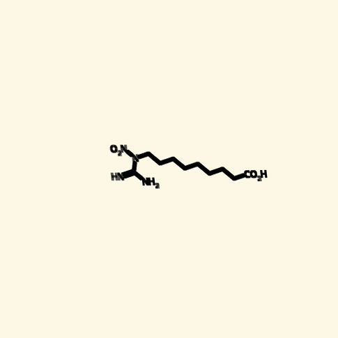 N=C(N)N(CCCCCCCCC(=O)O)[N+](=O)[O-]